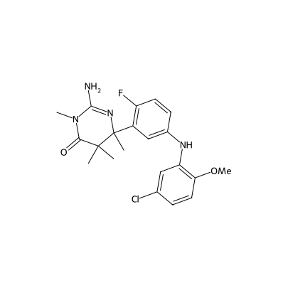 COc1ccc(Cl)cc1Nc1ccc(F)c(C2(C)N=C(N)N(C)C(=O)C2(C)C)c1